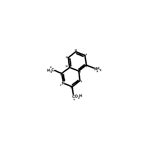 Cc1nc(C(=O)O)cc2c(N)cccc12